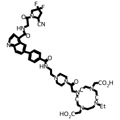 CCN1CCN(CC(=O)O)CCN(CC(=O)N2CCN(CCNC(=O)c3ccc(-c4ccc5nccc(C(=O)NCC(=O)N6CC(F)(F)CC6C#N)c5c4)cc3)CC2)CCN(CC(=O)O)CC1